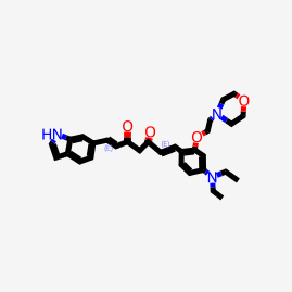 CCN(CC)c1ccc(/C=C/C(=O)CC(=O)/C=C/c2ccc3cc[nH]c3c2)c(OCCN2CCOCC2)c1